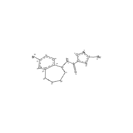 CC(C)(C)c1noc(C(=O)NC2CCCCc3cc(Br)ccc32)n1